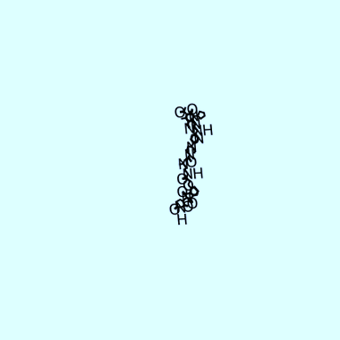 CC(=O)c1c(C)c2cnc(Nc3ccc(N4CCN(C(=O)CN(C)CCNC(=O)COc5cccc6c5C(=O)N(C5CCC(=O)NC5=O)C6=O)CC4)cn3)nc2n(C2CCCC2)c1=O